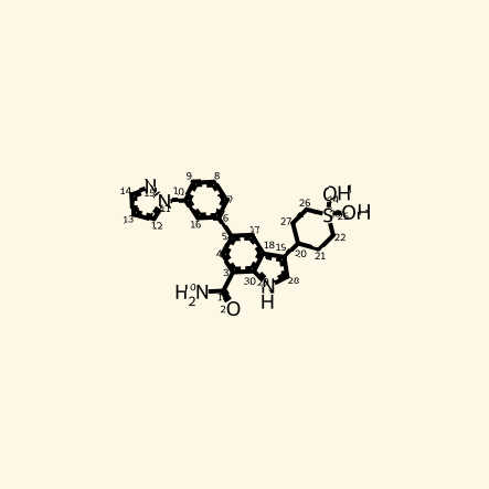 NC(=O)c1cc(-c2cccc(-n3cccn3)c2)cc2c(C3CCS(O)(O)CC3)c[nH]c12